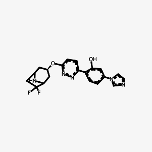 Oc1cc(-n2ccnc2)ccc1-c1ccc(O[C@@H]2CC3CC(F)(F)C(C2)N3)nn1